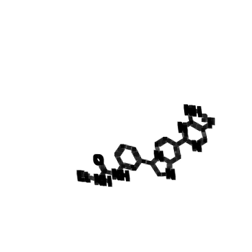 CCNC(=O)Nc1cccc(C2CN=C3C=C(c4ncc(F)c(N)n4)C=CN32)c1